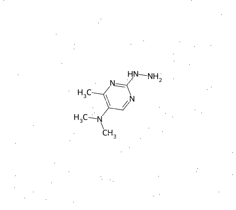 Cc1nc(NN)ncc1N(C)C